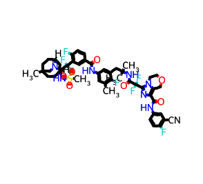 Cc1cc(NC(=O)c2ccc(F)c(C(F)(F)C(=O)N3CC4(C)CC[C@@H](NS(C)(=O)=O)C[C@H]3CC4)c2)cc(CC(C)(C)NC(=O)C(F)(F)c2nc(C(=O)Nc3ccc(F)c(C#N)c3)c3n2CCOC3)c1F